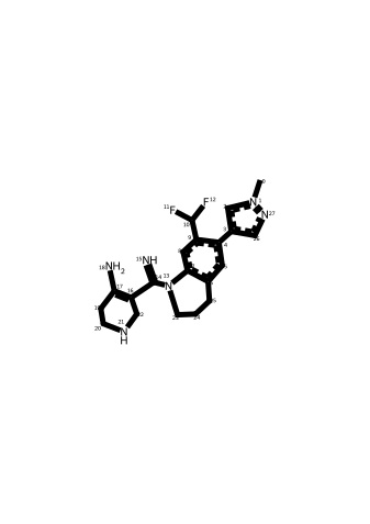 Cn1cc(-c2cc3c(cc2C(F)F)N(C(=N)C2=C(N)CCNC2)CCC3)cn1